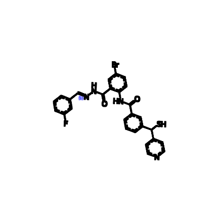 O=C(Nc1ccc(Br)cc1C(=O)N/N=C/c1cccc(F)c1)c1cccc(C(S)c2ccncc2)c1